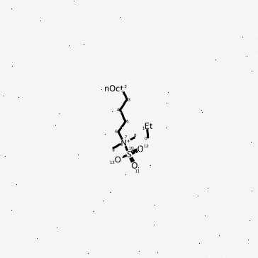 CCC.CCCCCCCCCCCC[N+](C)(C)S(=O)(=O)[O-]